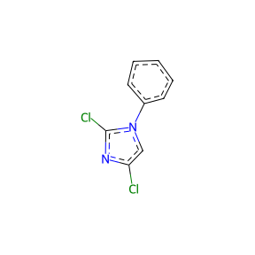 Clc1cn(-c2ccccc2)c(Cl)n1